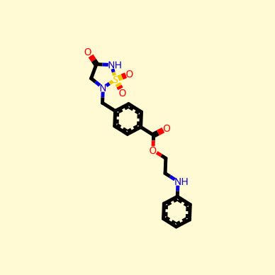 O=C1CN(Cc2ccc(C(=O)OCCNc3ccccc3)cc2)S(=O)(=O)N1